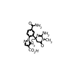 CN1C(=O)C[C@](C)(c2cc(C(N)=O)ccc2-n2cc(C(=O)O)cn2)N=C1N